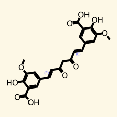 COc1cc(/C=C/C(=O)CC(=O)/C=C/c2cc(OC)c(O)c(C(=O)O)c2)cc(C(=O)O)c1O